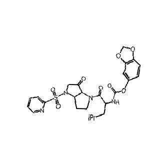 CC(C)CC(NC(=O)Oc1ccc2c(c1)OCO2)C(=O)N1CCC2C1C(=O)CN2S(=O)(=O)c1ccccn1